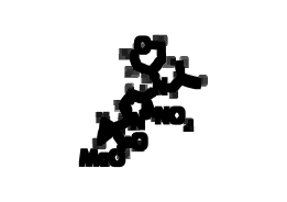 C=C(C)CN(c1ccc(C2(C(=O)OC)CC2)nc1[N+](=O)[O-])C1CCOCC1